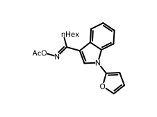 CCCCCC/C(=N\OC(C)=O)c1cn(-c2ccco2)c2ccccc12